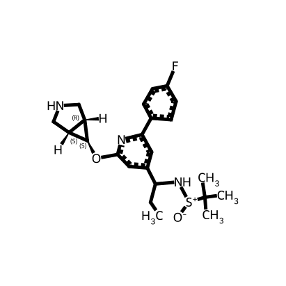 CCC(N[S+]([O-])C(C)(C)C)c1cc(O[C@H]2[C@@H]3CNC[C@@H]32)nc(-c2ccc(F)cc2)c1